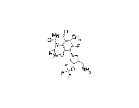 COc1c(N2CC(CN)C(OC(F)(F)F)C2)c(F)c(C)c2c(=O)[nH]c(=O)n(C3CC3)c12